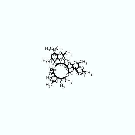 CO[C@H]1C[C@H](O[C@H]2[C@H](C)[C@@H](O[C@@H]3O[C@H](C)C[C@H](N(C)C)[C@H]3OC(C)=O)[C@@H](C)C[C@@]3(CO3)C(=O)[C@H](C)[C@H](OC(C)=O)[C@@H](C)[C@@H](C)OC(=O)[C@@H]2C)O[C@@H](C)[C@@H]1OC(C)=O